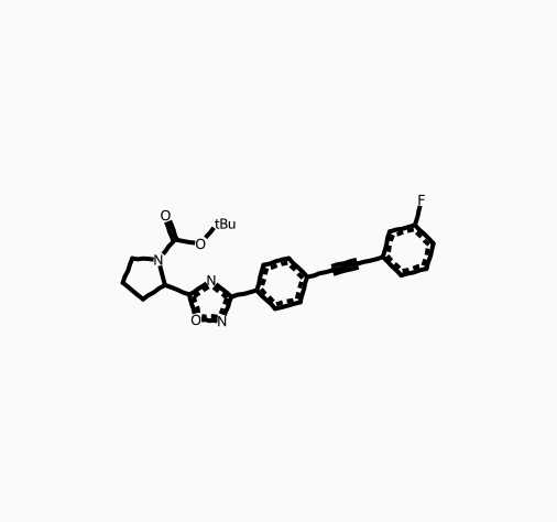 CC(C)(C)OC(=O)N1CCCC1c1nc(-c2ccc(C#Cc3cccc(F)c3)cc2)no1